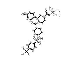 CC(C)(C)OC(=O)N1CCN(C(=O)[C@H]2CC[C@H](NS(=O)(=O)c3ccc(C(F)(F)F)cc3)CC2)C(c2ccc(Cl)cc2)C1